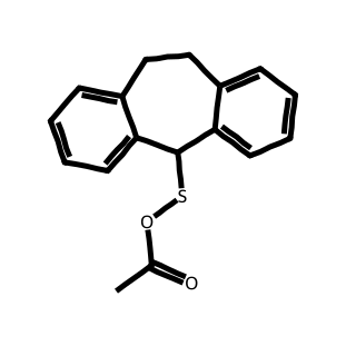 CC(=O)OSC1c2ccccc2CCc2ccccc21